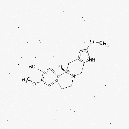 COc1cc2c([nH]1)CN1CCc3cc(OC)c(O)cc3[C@@H]1C2